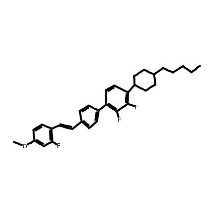 CCCCCC1CCC(c2ccc(-c3ccc(/C=C/c4ccc(OC)cc4F)cc3)c(F)c2F)CC1